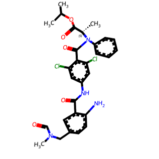 CC(C)OC(=O)[C@H](C)N(C(=O)c1c(Cl)cc(NC(=O)c2cc(CN(C)C=O)ccc2N)cc1Cl)c1ccccc1